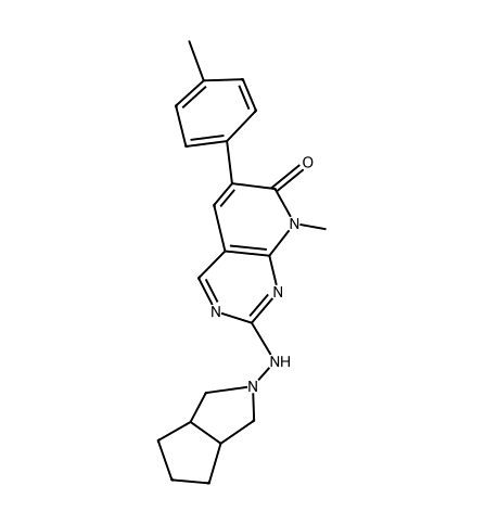 Cc1ccc(-c2cc3cnc(NN4CC5CCCC5C4)nc3n(C)c2=O)cc1